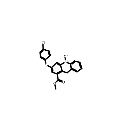 COC(=O)c1cc(Sc2ccc(Cl)cc2)cc2c1Cc1ccccc1[S+]2[O-]